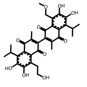 COCc1c(O)c(O)c(C(C)C)c2c1C(=O)C(C1=C(C)C(=O)c3c(c(CCO)c(O)c(O)c3C(C)C)C1=O)=C(C)C2=O